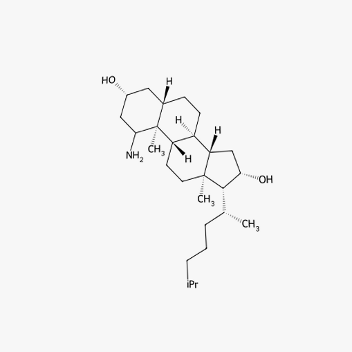 CC(C)CCC[C@@H](C)[C@H]1[C@@H](O)C[C@H]2[C@@H]3CC[C@H]4C[C@@H](O)CC(N)[C@]4(C)[C@H]3CC[C@]12C